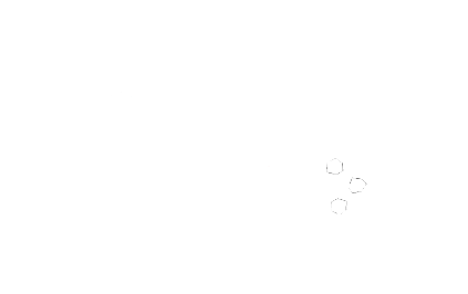 OC(COCCCCCCCCCCCCCCCC(F)(F)C(F)(F)C(F)(F)F)COCCOCCOC(c1ccccc1)(c1ccccc1)c1ccccc1